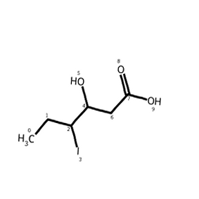 CCC(I)C(O)CC(=O)O